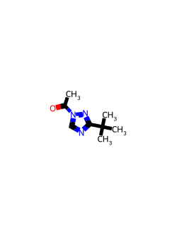 CC(=O)n1cnc(C(C)(C)C)n1